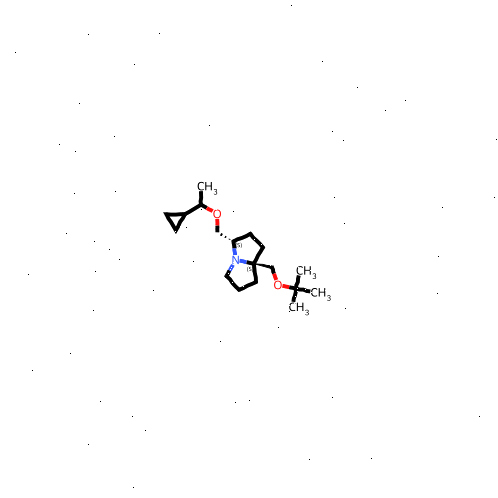 CC(OC[C@@H]1CC[C@]2(COC(C)(C)C)CCCN12)C1CC1